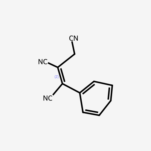 N#CC/C(C#N)=C(/C#N)c1ccccc1